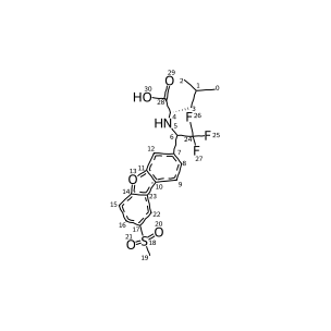 CC(C)C[C@H](NC(c1ccc2c(c1)oc1ccc(S(C)(=O)=O)cc12)C(F)(F)F)C(=O)O